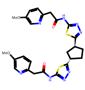 COc1ccc(CC(=O)Nc2nnc([C@H]3CC[C@H](c4nnc(NC(=O)Cc5ccc(OC)cn5)s4)C3)s2)nc1